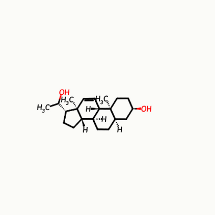 CC(O)[C@H]1CC[C@H]2[C@@H]3CC[C@@H]4C[C@H](O)CC[C@]4(C)[C@H]3C=C[C@]12C